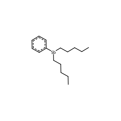 CCCC[CH2][Sb]([CH2]CCCC)[c]1ccccc1